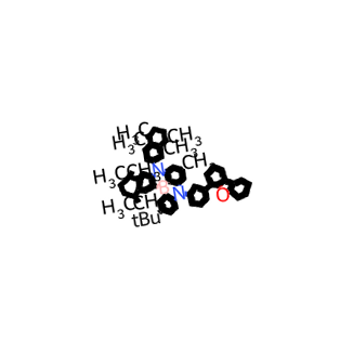 Cc1cc2c3c(c1)N(c1ccc4c(c1)C(C)(C)CCC4(C)C)c1cc4c(cc1B3c1cc(C(C)(C)C)ccc1N2c1cccc(-c2cccc3c2oc2ccccc23)c1)C(C)(C)CCC4(C)C